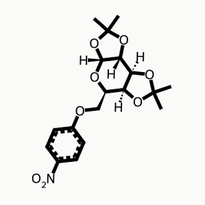 CC1(C)O[C@H]2[C@@H](O1)[C@@H](COc1ccc([N+](=O)[O-])cc1)O[C@@H]1OC(C)(C)O[C@@H]12